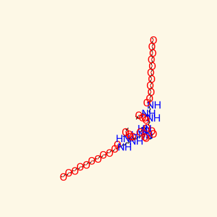 COCCOCCOCCOCCOCCOCCOCCOCCOCCOCC(=O)NCCCC[C@H](NC(=O)CCCNC(=O)[C@H]([C@@H](C(=O)NCCCC(=O)N[C@@H](CCCCNC(=O)COCCOCCOCCOCCOCCOCCOCCOCCOCCOC)C(=O)N[C@@H](C)C(=O)OC(C)(C)C)N1C(=O)C=CC1=O)N1C(=O)C=CC1=O)C(=O)N[C@@H](C)C(=O)OC(C)(C)C